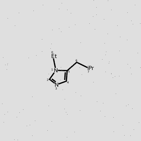 CCn1cncc1CC(C)C